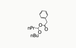 CCCCOC(CCC)OC(=O)Cc1ccccc1